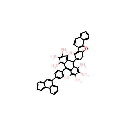 Bc1c(B)c(B)c2c(-c3ccc4oc5c6ccccc6ccc5c4c3)c3c(B)c(B)c(B)c(B)c3c(-c3ccc(-c4cc5ccccc5c5ccccc45)cc3)c2c1B